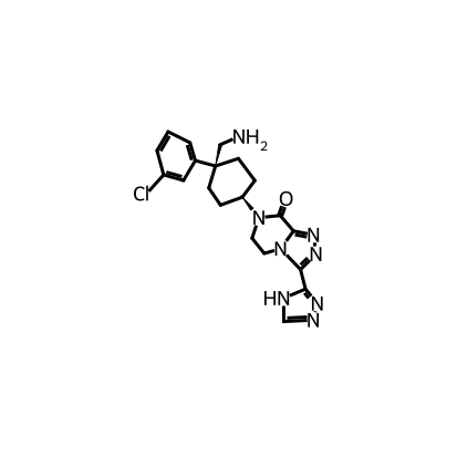 NC[C@]1(c2cccc(Cl)c2)CC[C@H](N2CCn3c(nnc3-c3nnc[nH]3)C2=O)CC1